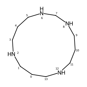 C1CNCCCNCNCCCNC1